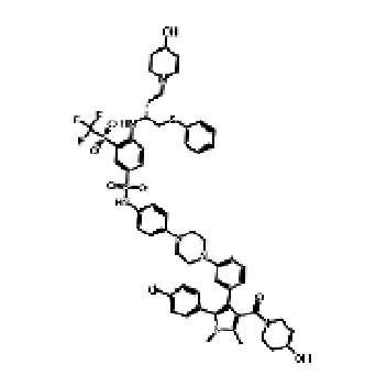 Cc1c(C(=O)N2CCC(O)CC2)c(-c2cccc(N3CCN(c4ccc(NS(=O)(=O)c5ccc(N[C@H](CCN6CCC(O)CC6)CSc6ccccc6)c(S(=O)(=O)C(F)(F)F)c5)cc4)CC3)c2)c(-c2ccc(Cl)cc2)n1C